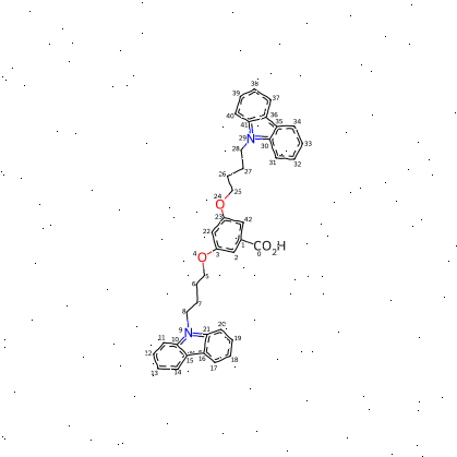 O=C(O)c1cc(OCCCCn2c3ccccc3c3ccccc32)cc(OCCCCn2c3ccccc3c3ccccc32)c1